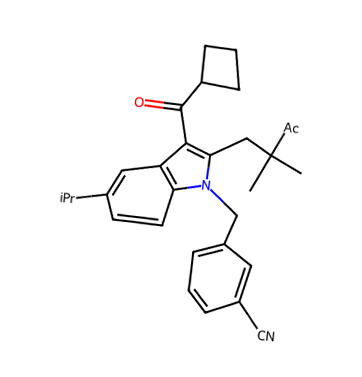 CC(=O)C(C)(C)Cc1c(C(=O)C2CCC2)c2cc(C(C)C)ccc2n1Cc1cccc(C#N)c1